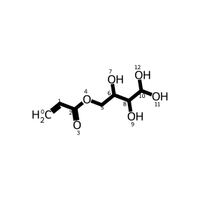 C=CC(=O)OCC(O)C(O)C(O)O